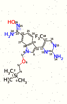 C[Si](C)(C)CCOCn1cc(-c2nc(N)ncc2C(F)(F)F)c2ccc(/C(N)=N/O)cc21